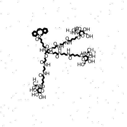 CC(=O)N[C@H]1[C@H](OCCCCC(=O)NCCCNC(=O)CCOCC(COCCC(=O)NCCCNC(=O)CCCCO[C@@H]2O[C@H](CO)[C@H](O)[C@H](O)[C@H]2NC(C)=O)(COCCC(=O)NCCCNC(=O)CCCCO[C@@H]2O[C@H](CO)[C@H](O)[C@H](O)[C@H]2NC(C)=O)NC(=O)CCCCC(=O)N2Cc3ccccc3C#Cc3ccccc32)O[C@H](CO)[C@H](O)[C@@H]1O